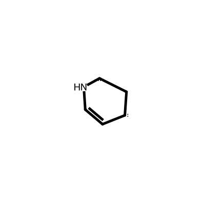 [C]1C=CN[C]C1